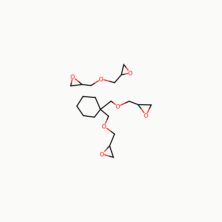 C(OCC1CO1)C1CO1.C1CCC(COCC2CO2)(COCC2CO2)CC1